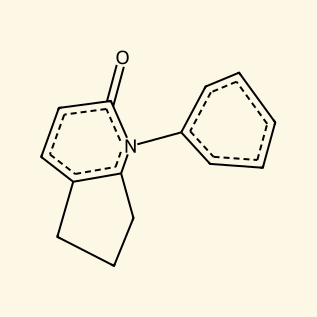 O=c1ccc2c(n1-c1ccccc1)CCC2